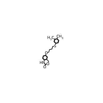 Cc1ccc(SCCCCOc2ccc3c(c2)COC(=O)N3)cc1C